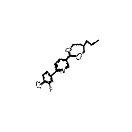 CCCC1COC(c2ccc(-c3ccc(Cl)c(F)c3)nc2)OC1